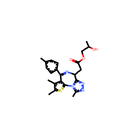 Cc1ccc(C2=NC(CC(=O)OCC(C)O)c3nnc(C)n3-c3sc(C)c(C)c32)cc1